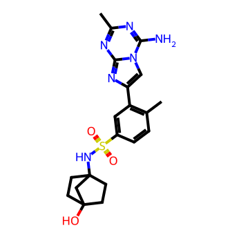 Cc1nc(N)n2cc(-c3cc(S(=O)(=O)NC45CCC(O)(CC4)C5)ccc3C)nc2n1